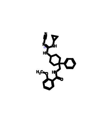 COc1ccccc1C(=O)NCC1(c2ccccc2)CCC(N/C(=N/C#N)NC2CC2)CC1